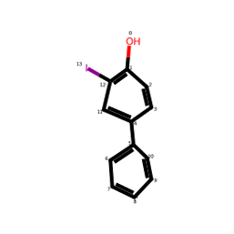 Oc1ccc(-c2cc[c]cc2)cc1I